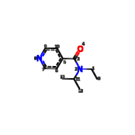 CCN(C(=O)c1ccncc1)C(C)C